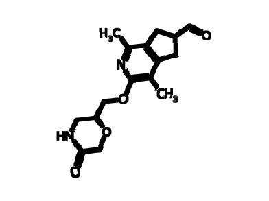 Cc1nc(OCC2CNC(=O)CO2)c(C)c2c1CC(C=O)C2